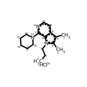 CCCn1c(C)c(C)c2ccnc(N3CCCCC3)c21.Cl